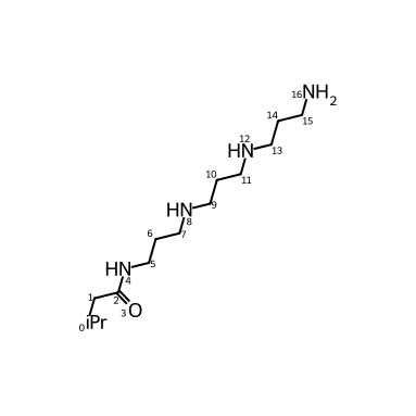 CC(C)CC(=O)NCCCNCCCNCCCN